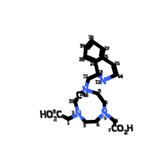 O=C(O)CN1CCN(CC(=O)O)CCN(Cc2nccc3ccccc23)CC1